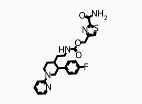 NC(=O)c1nc(COC(=O)NCCC2CCN(c3ccccn3)CC2c2ccc(F)cc2)cs1